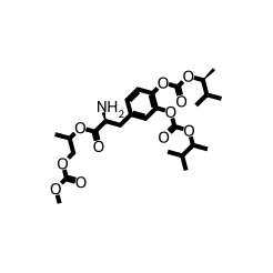 COC(=O)OCC(C)OC(=O)[C@@H](N)Cc1ccc(OC(=O)O[C@@H](C)C(C)C)c(OC(=O)OC(C)C(C)C)c1